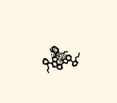 CCCc1ccccc1-c1cccc2c1C=C(c1ccccc1)[CH]2[Hf]([Cl])([Cl])([B](NC(=O)CC)NC(=O)CC)[CH]1C(c2ccccc2)=Cc2c(-c3ccccc3CCC)cccc21